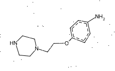 Nc1ccc(OCCN2CCNCC2)cc1